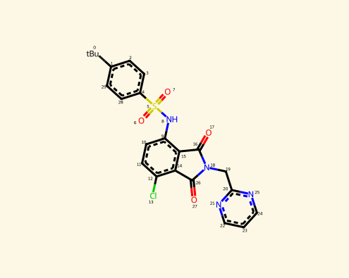 CC(C)(C)c1ccc(S(=O)(=O)Nc2ccc(Cl)c3c2C(=O)N(Cc2ncccn2)C3=O)cc1